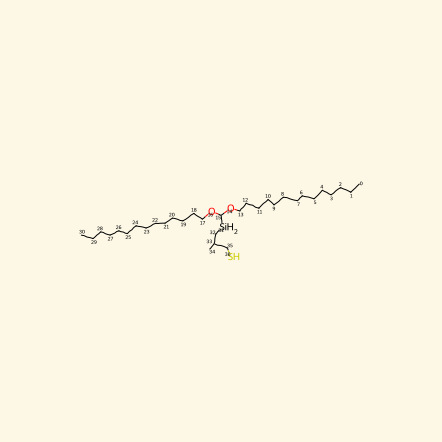 CCCCCCCCCCCCCCOC(OCCCCCCCCCCCCCC)[SiH2]CC(C)CS